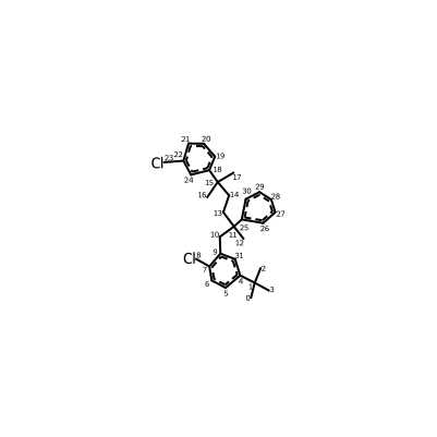 CC(C)(C)c1ccc(Cl)c(CC(C)(CCC(C)(C)c2cccc(Cl)c2)c2ccccc2)c1